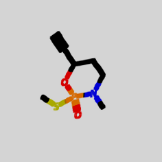 C#CC1CCN(C)P(=O)(SC)O1